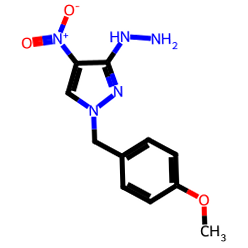 COc1ccc(Cn2cc([N+](=O)[O-])c(NN)n2)cc1